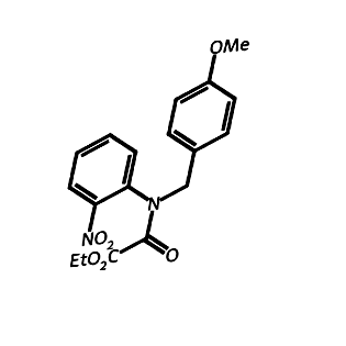 CCOC(=O)C(=O)N(Cc1ccc(OC)cc1)c1ccccc1[N+](=O)[O-]